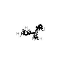 Cc1c(CN(C)C(=O)/C=C/c2cnc3c(c2)CCC(N)C(=O)N3)oc2c(Cl)cccc12.O=C(O)C(F)(F)F